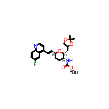 CC(C)(C)OC(=O)N[C@@H]1CC[C@@H](C=Cc2ccnc3ccc(F)cc23)O[C@@H]1CC1COC(C)(C)O1